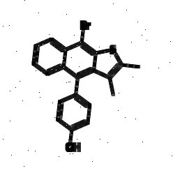 Cc1sc2c(Br)c3ccccc3c(-c3ccc(O)cc3)c2c1C